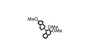 COc1ccc2cc(-c3c(OC)c(OC)cc4ccccc34)ccc2c1